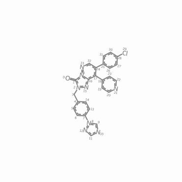 O=c1n(Cc2ccc(-n3cncn3)cc2)nc2c(-c3ccncc3)c(-c3ccc(Cl)cc3)cnn12